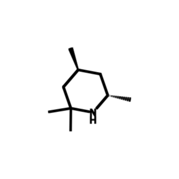 C[C@H]1C[C@H](C)NC(C)(C)C1